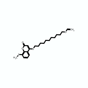 C=COCCCCCCCCCCCSc1cc(=O)oc2c(SC)cccc12